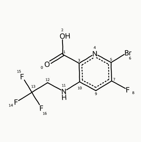 O=C(O)c1nc(Br)c(F)cc1NCC(F)(F)F